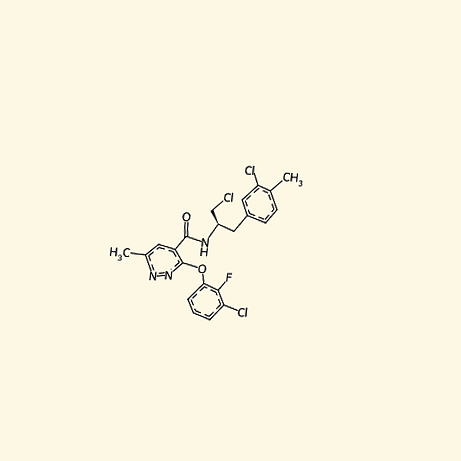 Cc1cc(C(=O)N[C@@H](CCl)Cc2ccc(C)c(Cl)c2)c(Oc2cccc(Cl)c2F)nn1